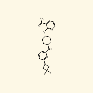 NC(=O)c1cccnc1O[C@H]1CC[C@H](Nc2nccc(N3CC(F)(F)C3)n2)CC1